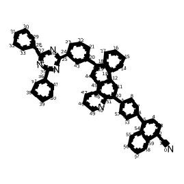 N#Cc1ccc(-c2ccc(-c3cc4c5ccccc5c(-c5cccc(-c6nc(-c7ccccc7)nc(-c7ccccc7)n6)c5)cc4c4cccnc34)cc2)c2ccccc12